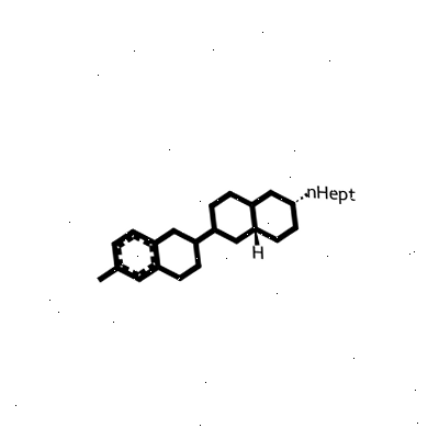 CCCCCCC[C@@H]1CC[C@@H]2CC(C3CCc4cc(C)ccc4C3)CCC2C1